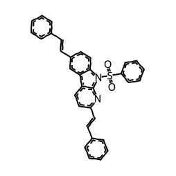 O=S(=O)(c1ccccc1)n1c2ccc(C=Cc3ccccc3)cc2c2ccc(C=Cc3ccccc3)nc21